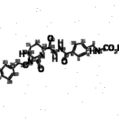 O=C(O)NCc1ccc(C(=O)NNC(=O)[C@@H]2CC[C@@H]3CN2C(=O)N3OCc2ccccc2)cc1